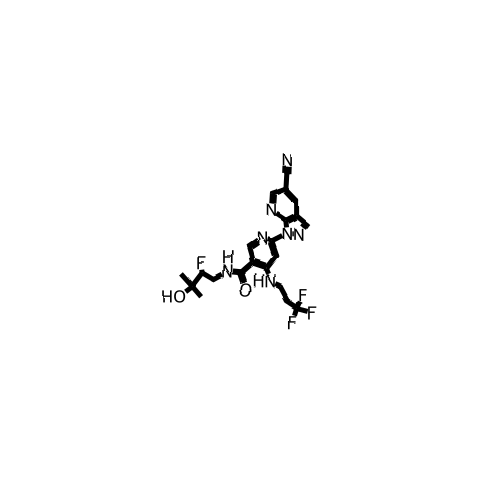 CC(C)(O)C(F)CNC(=O)c1cnc(-n2ncc3cc(C#N)cnc32)cc1NCCC(F)(F)F